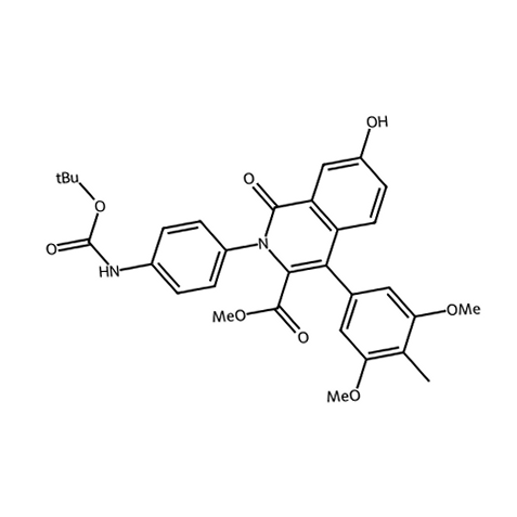 COC(=O)c1c(-c2cc(OC)c(C)c(OC)c2)c2ccc(O)cc2c(=O)n1-c1ccc(NC(=O)OC(C)(C)C)cc1